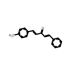 Cc1ccc(/C=C/C(=O)/C=C/c2ccccc2)cc1